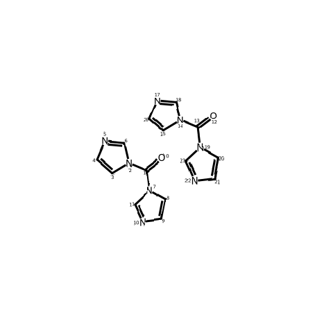 O=C(n1ccnc1)n1ccnc1.O=C(n1ccnc1)n1ccnc1